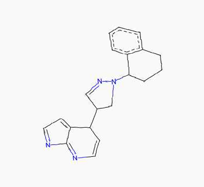 C1=CC(C2C=NN(C3CCCc4ccccc43)C2)C2=CC=NC2=N1